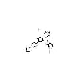 CC1CN(c2cc(F)c(C3=CCN(c4ncc(F)cn4)CC3)cc2NC(=O)c2c[nH]c(=O)cc2C(F)(F)F)CC(C)N1C